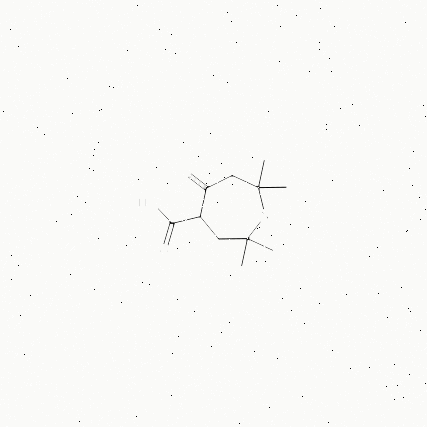 CC1(C)CC(=O)C(C(=O)O)CC(C)(C)N1